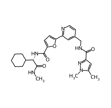 CNC(=O)[C@@H](NC(=O)c1ccc(-c2cc(CNC(=O)c3cc(C)n(C)n3)ccn2)o1)C1CCCCC1